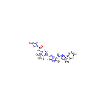 CCc1nc2sc(N3CCN(CC(=O)N4CC(O)C4)[C@H](C(=O)NC)C3)nn2c1N(C)c1nc(-c2ccc(F)cc2)c(C#N)s1